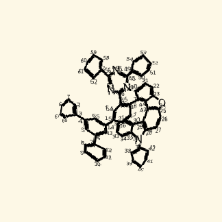 c1ccc(-c2cc(-c3ccccc3)cc(-c3ccc(-c4cccc5oc6ccc7c(c8ccccc8n7-c7ccccc7)c6c45)c(-c4nc(-c5ccccc5)nc(-c5ccccc5)n4)c3)c2)cc1